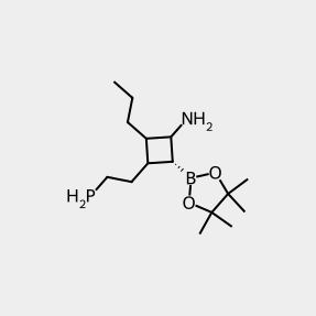 CCCC1C(N)[C@H](B2OC(C)(C)C(C)(C)O2)C1CCP